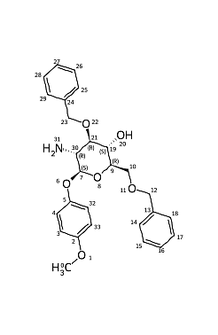 COc1ccc(O[C@@H]2O[C@H](COCc3ccccc3)[C@@H](O)[C@H](OCc3ccccc3)[C@H]2N)cc1